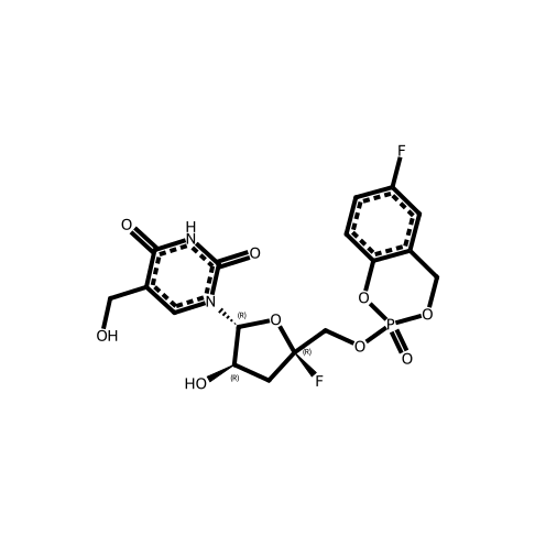 O=c1[nH]c(=O)n([C@@H]2O[C@](F)(COP3(=O)OCc4cc(F)ccc4O3)C[C@H]2O)cc1CO